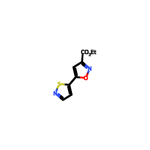 CCOC(=O)c1cc(-c2ccns2)on1